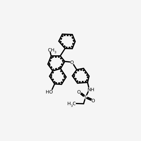 CCS(=O)(=O)Nc1ccc(Oc2c(-c3ccccc3)c(C)cc3cc(O)ccc23)cc1